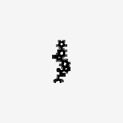 O=C(NCC(F)F)c1cnn2ccc(-c3c[nH]c4nc(C5CCCC5)ccc34)cc12